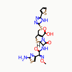 CON=C(C(=O)NC1C(=O)N2C(C(=O)O)=C(CSc3nnc(-c4cccs4)[nH]3)CS[C@@H]12)c1csc(N)n1